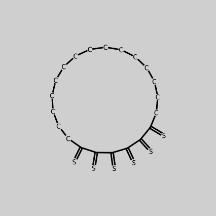 S=C1CCCCCCCCCCCCCCCC(=S)C(=S)C(=S)C(=S)C1=S